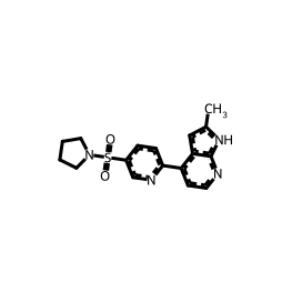 Cc1cc2c(-c3ccc(S(=O)(=O)N4CCCC4)cn3)ccnc2[nH]1